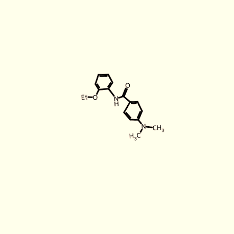 CCOc1ccccc1NC(=O)c1ccc(N(C)C)cc1